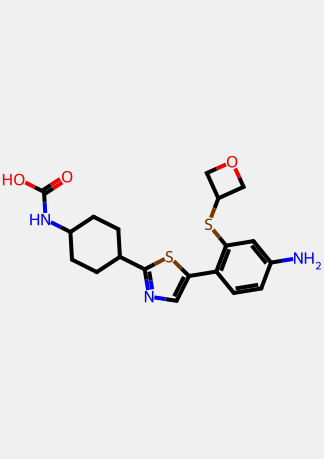 Nc1ccc(-c2cnc(C3CCC(NC(=O)O)CC3)s2)c(SC2COC2)c1